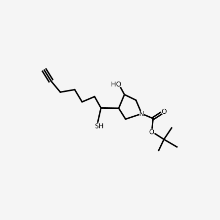 C#CCCCCC(S)C1CN(C(=O)OC(C)(C)C)CC1O